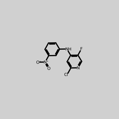 O=[N+]([O-])c1cccc(Nc2cc(Cl)ncc2F)c1